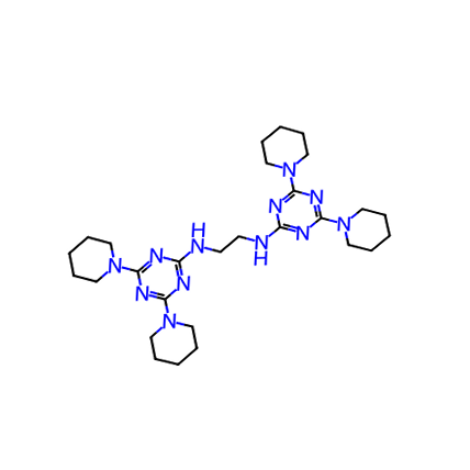 C1CCN(c2nc(NCCNc3nc(N4CCCCC4)nc(N4CCCCC4)n3)nc(N3CCCCC3)n2)CC1